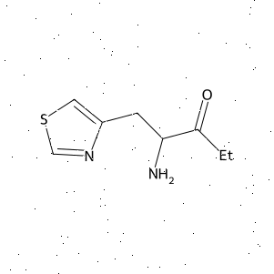 CCC(=O)C(N)Cc1cscn1